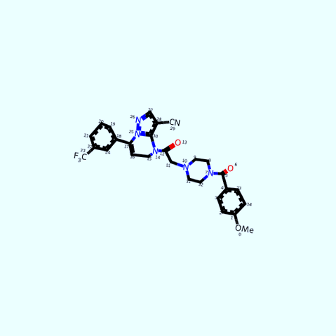 COc1ccc(C(=O)N2CCN(CC(=O)N3CC=C(c4cccc(C(F)(F)F)c4)n4ncc(C#N)c43)CC2)cc1